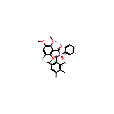 COc1cc(Br)c(OC)c(C(=O)P(=O)(C(=O)c2c(C)cc(C)c(C)c2C)c2ccccc2)c1OC